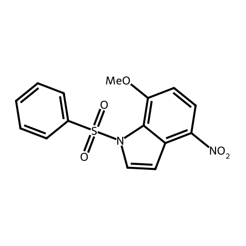 COc1ccc([N+](=O)[O-])c2ccn(S(=O)(=O)c3ccccc3)c12